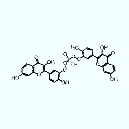 CP(=O)(OOc1cc(-c2oc3cc(O)ccc3c(=O)c2O)ccc1O)OOc1cc(-c2oc3cc(O)ccc3c(=O)c2O)ccc1O